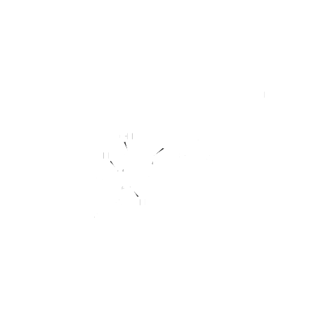 Cc1ccc(S(=O)(=O)OC[C@H]2O[C@@H]3OC(C)(c4ccccc4)O[C@@H]3[C@H]2O)cc1